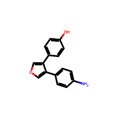 Nc1ccc(-c2cocc2-c2ccc(O)cc2)cc1